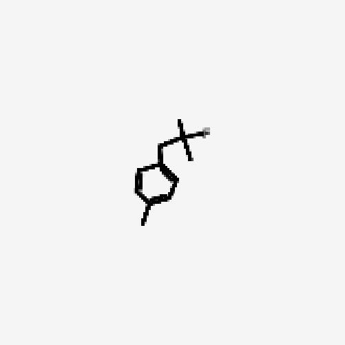 Cc1ccc(CC(C)(C)F)cc1